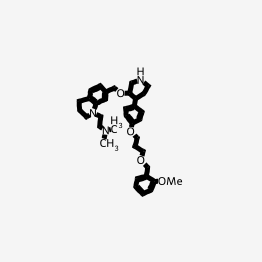 COc1ccccc1COCCCOc1ccc(C2CCNCC2OCc2ccc3c(c2)N(CCN(C)C)CCC3)cc1